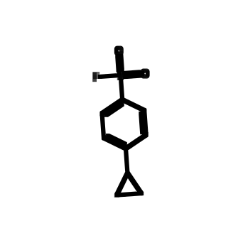 O=S(=O)(F)c1ccc(C2CC2)cc1